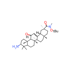 CN(OC(C)(C)C)C(=O)[C@@]1(C)CC[C@]2(C)CC[C@]3(C)C(=CC(=O)[C@@H]4[C@@]5(C)CC[C@H](N)C(C)(C)C5CC[C@]43C)[C@@H]2C1